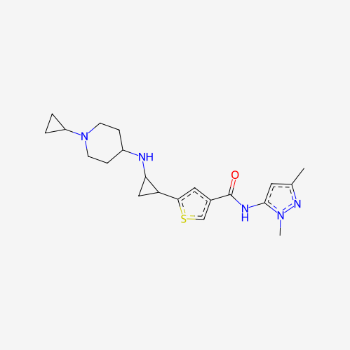 Cc1cc(NC(=O)c2csc(C3CC3NC3CCN(C4CC4)CC3)c2)n(C)n1